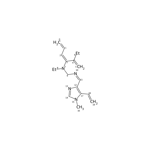 C=C/C=C(\C(=C)CC)N(CC)C/N=C\c1ncn(C)c1C=C